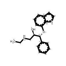 CCNC[C@@H](O)[C@H](Oc1cccc2ccsc12)c1ccccc1